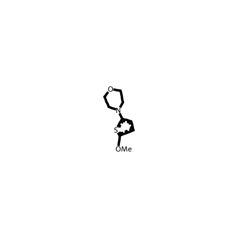 COc1ccc(N2CCOCC2)s1